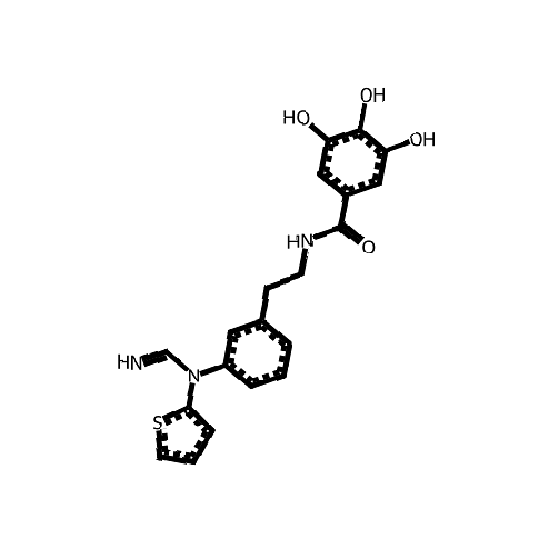 N=CN(c1cccc(CCNC(=O)c2cc(O)c(O)c(O)c2)c1)c1cccs1